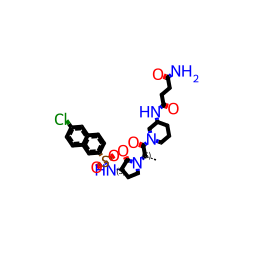 C[C@@H](C(=O)N1CCCC(NC(=O)CCC(N)=O)C1)N1CC[C@H](NS(=O)(=O)c2ccc3cc(Cl)ccc3c2)C1=O